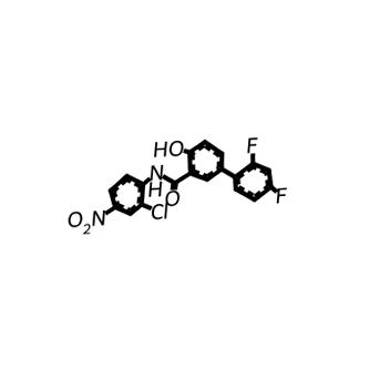 O=C(Nc1ccc([N+](=O)[O-])cc1Cl)c1cc(-c2ccc(F)cc2F)ccc1O